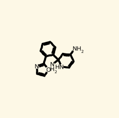 NC1=CC(N)(c2ccccc2-c2ncco2)NC=C1